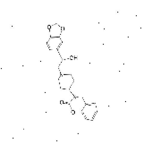 O=C1Oc2ccccc2CN1C1CCN(CC(O)c2ccc3c(c2)OCO3)CC1